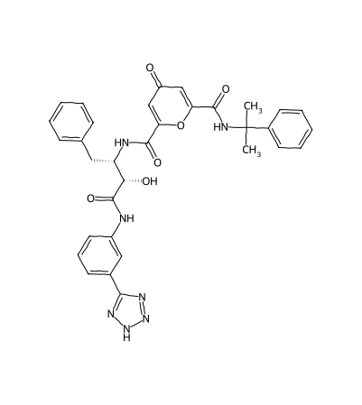 CC(C)(NC(=O)c1cc(=O)cc(C(=O)N[C@@H](Cc2ccccc2)[C@H](O)C(=O)Nc2cccc(-c3nn[nH]n3)c2)o1)c1ccccc1